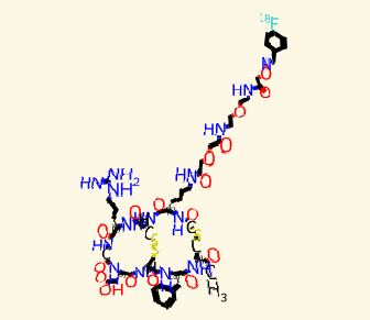 CC(=O)[C@@H]1CSCC(=O)N[C@@H](CCCCNC(=O)COCC(=O)NCCOCCNC(=O)CO/N=C/c2ccc([18F])cc2)C(=O)N[C@H]2CSSC[C@H](NC(=O)[C@H](CC(=O)O)NC(=O)CNC(=O)[C@H](CCCNC(=N)N)NC2=O)C(=O)N[C@@H](Cc2ccccc2)C(=O)N1